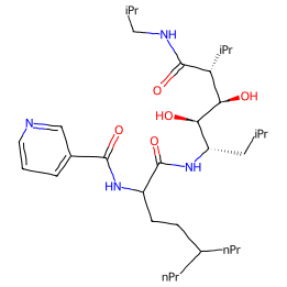 CCCC(CCC)CCC(NC(=O)c1cccnc1)C(=O)N[C@@H](CC(C)C)[C@@H](O)[C@H](O)[C@H](C(=O)NCC(C)C)C(C)C